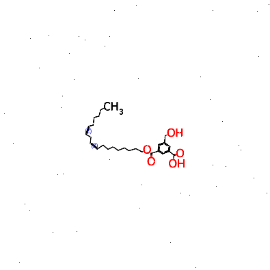 CCCCC/C=C\C/C=C\CCCCCCCCOC(=O)c1cc(CO)cc(C(=O)O)c1